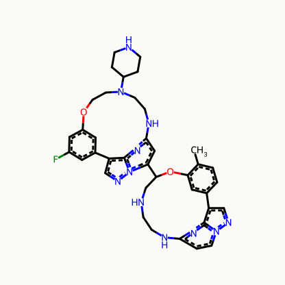 Cc1ccc2cc1OC(c1cc3nc4c(cnn14)-c1cc(F)cc(c1)OCCN(C1CCNCC1)CCN3)CNCCNc1ccn3ncc-2c3n1